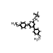 COc1ccc(-c2cc(C)[s+]c(-c3ccc(OC)cc3)c2)cc1.F[B-](F)(F)F